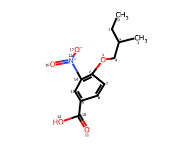 CCC(C)COc1ccc(C(=O)O)cc1[N+](=O)[O-]